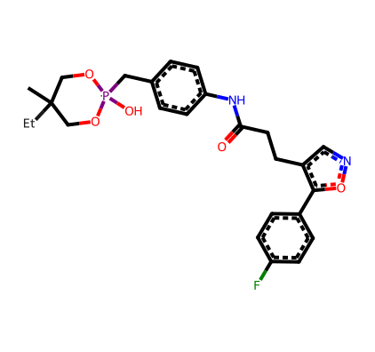 CCC1(C)CO[P](O)(Cc2ccc(NC(=O)CCc3cnoc3-c3ccc(F)cc3)cc2)OC1